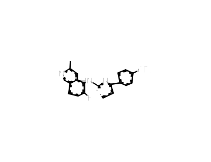 Cc1cc2c(Nc3nccc(-c4ccc(C(F)(F)F)cc4)n3)c(F)ccc2cn1